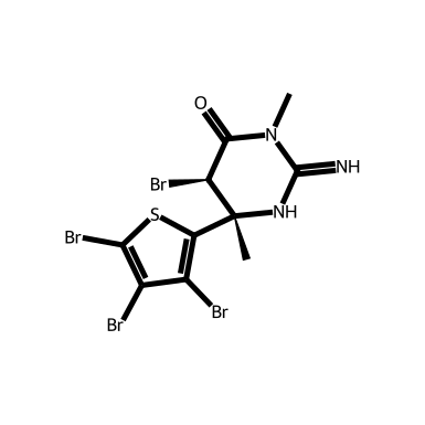 CN1C(=N)N[C@](C)(c2sc(Br)c(Br)c2Br)[C@@H](Br)C1=O